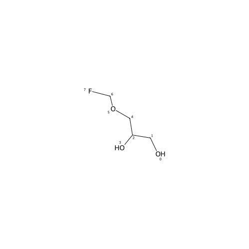 OCC(O)COCF